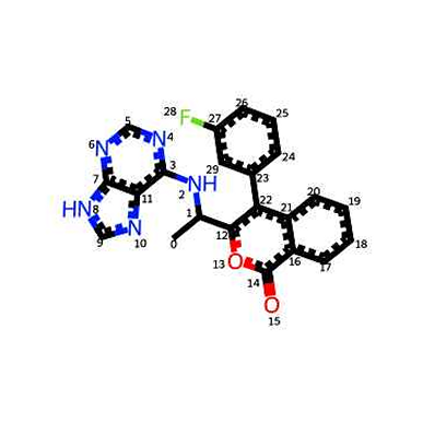 CC(Nc1ncnc2[nH]cnc12)c1oc(=O)c2ccccc2c1-c1cccc(F)c1